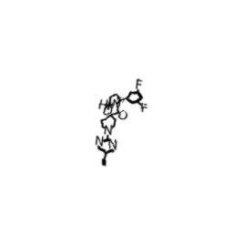 C#Cc1cnc(N2CCC3(CC2)O[C@@H]2CC[C@@H](c4cc(F)cc(F)c4)N2C3=O)nc1